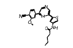 CCCCC(=O)Nc1csc(-c2cncc(-c3ccc(C#N)c(OC)c3)n2)c1